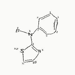 CCN(c1ccccc1)c1nccs1